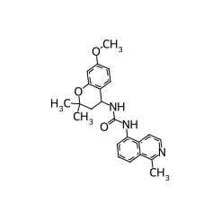 COc1ccc2c(c1)OC(C)(C)CC2NC(=O)Nc1cccc2c(C)nccc12